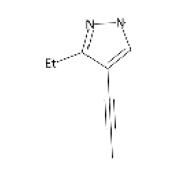 CC#CC1=C[N]N=C1CC